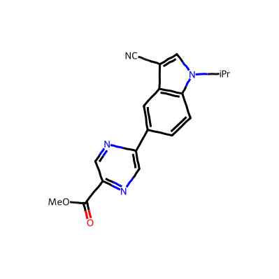 COC(=O)c1cnc(-c2ccc3c(c2)c(C#N)cn3C(C)C)cn1